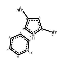 CCCc1c[nH]c(CCC)c1.c1ccncc1